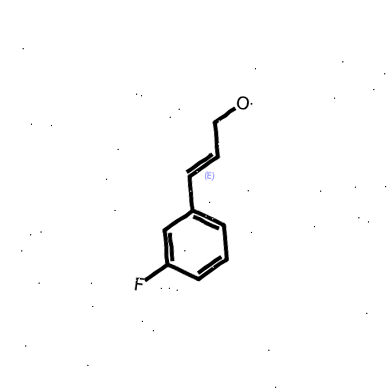 [O]C/C=C/c1cccc(F)c1